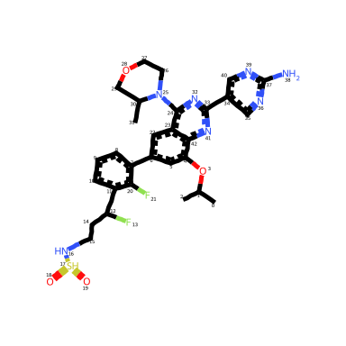 CC(C)Oc1cc(-c2cccc(C(F)CCN[SH](=O)=O)c2F)cc2c(N3CCOCC3C)nc(-c3cnc(N)nc3)nc12